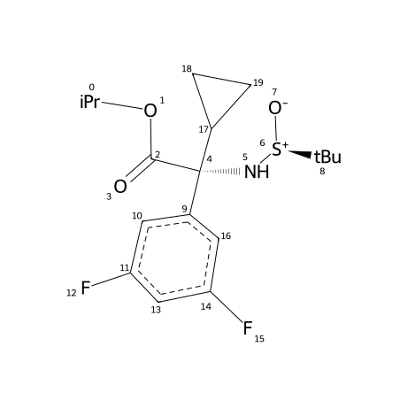 CC(C)OC(=O)[C@](N[S@@+]([O-])C(C)(C)C)(c1cc(F)cc(F)c1)C1CC1